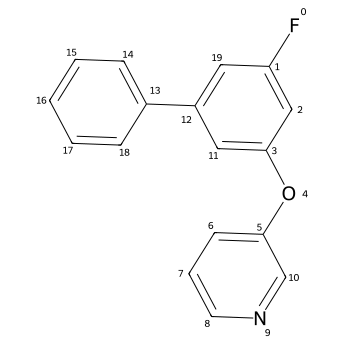 Fc1cc(Oc2cccnc2)cc(-c2ccccc2)c1